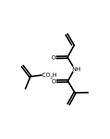 C=C(C)C(=O)O.C=CC(=O)NC(=O)C(=C)C